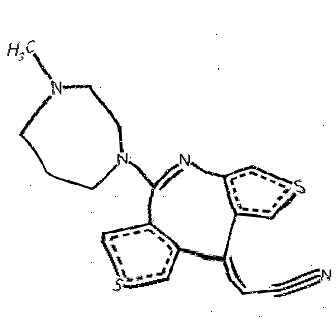 CN1CCCN(C2=Nc3cscc3/C(=C\C#N)c3cscc32)CC1